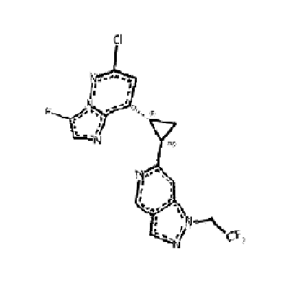 Fc1cnc2c([C@@H]3C[C@H]3c3cc4c(cn3)cnn4CC(F)(F)F)cc(Cl)nn12